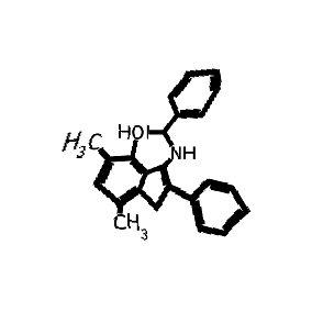 Cc1cc(C)c2c(c1O)C(NC(I)c1ccccc1)=C(c1ccccc1)C2